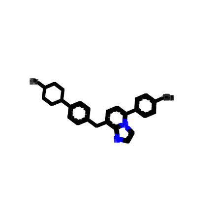 CC(C)C1CCC(c2ccc(Cc3ccc(-c4ccc(C(C)(C)C)cc4)n4ccnc34)cc2)CC1